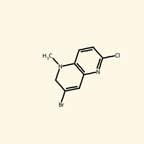 CN1CC(Br)=Cc2nc(Cl)ccc21